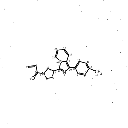 C=CC(=O)N1CCC(c2nc(-c3ccc(C(F)(F)F)cc3)c3ccccn23)C1